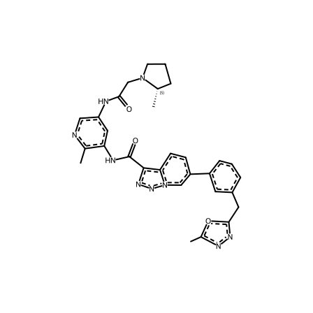 Cc1nnc(Cc2cccc(-c3ccc4c(C(=O)Nc5cc(NC(=O)CN6CCC[C@@H]6C)cnc5C)nnn4c3)c2)o1